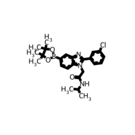 CC(C)NC(=O)Cn1c(-c2cccc(Cl)c2)nc2cc(B3OC(C)(C)C(C)(C)O3)ccc21